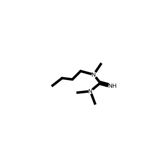 CCCCN(C)C(=N)N(C)C